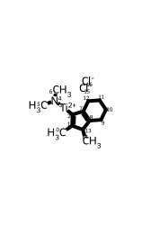 CC1=[C]([Ti+2][N](C)C)C2=C(CCCC2)C1C.[Cl-].[Cl-]